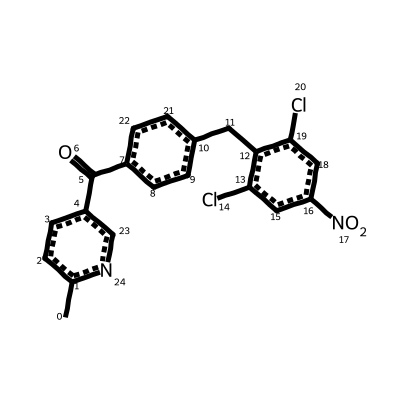 Cc1ccc(C(=O)c2ccc(Cc3c(Cl)cc([N+](=O)[O-])cc3Cl)cc2)cn1